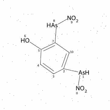 O=[N+]([O-])[AsH]c1ccc(O)c([AsH][N+](=O)[O-])c1